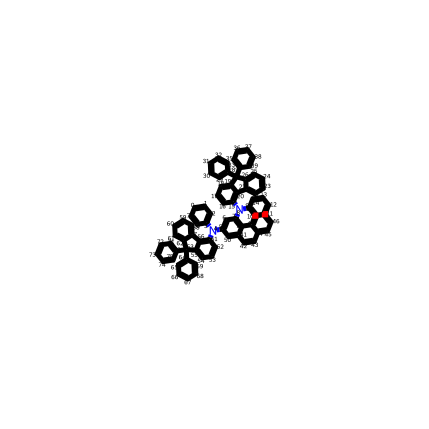 c1ccc(N(c2cc(N(c3ccccc3)c3cccc4c3-c3ccccc3C4(c3ccccc3)c3ccccc3)c3c(ccc4ccccc43)c2)c2cccc3c2-c2ccccc2C3(c2ccccc2)c2ccccc2)cc1